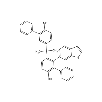 CC(C)(c1ccc(O)c(-c2ccccc2)c1)c1ccc(O)c(-c2ccccc2)c1-c1ccc2ccsc2c1